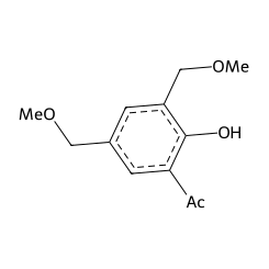 COCc1cc(COC)c(O)c(C(C)=O)c1